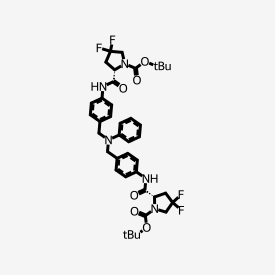 CC(C)(C)OC(=O)N1CC(F)(F)C[C@H]1C(=O)Nc1ccc(CN(Cc2ccc(NC(=O)[C@@H]3CC(F)(F)CN3C(=O)OC(C)(C)C)cc2)c2ccccc2)cc1